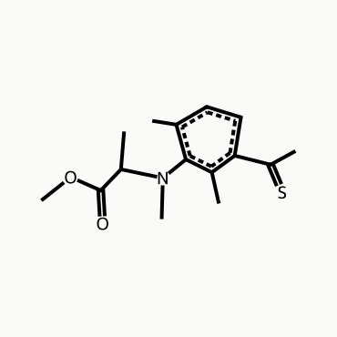 COC(=O)C(C)N(C)c1c(C)ccc(C(C)=S)c1C